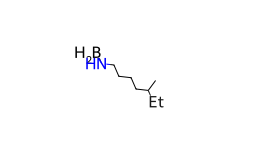 BNCCCCC(C)CC